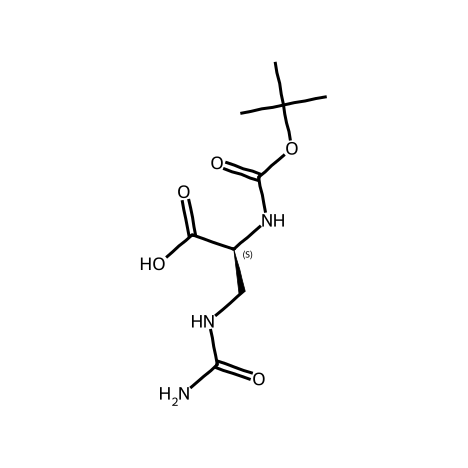 CC(C)(C)OC(=O)N[C@@H](CNC(N)=O)C(=O)O